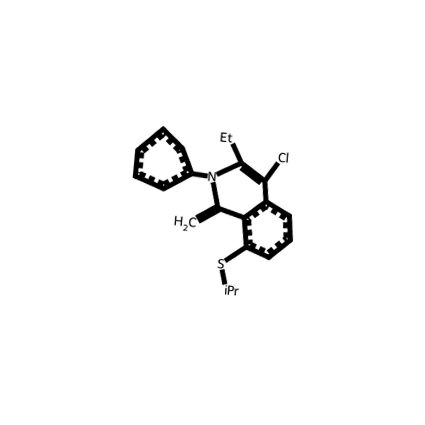 C=C1c2c(SC(C)C)cccc2C(Cl)=C(CC)N1c1ccccc1